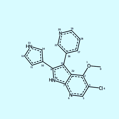 COc1c(Cl)cnc2[nH]c(-c3cc[nH]c3)c(-c3cccnc3)c12